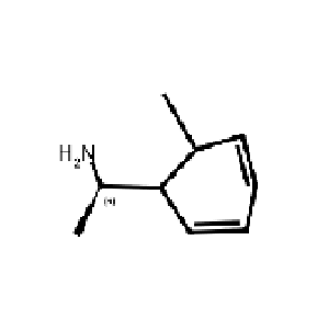 CC1C=CC=CC1[C@@H](C)N